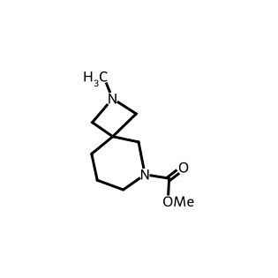 COC(=O)N1CCCC2(CN(C)C2)C1